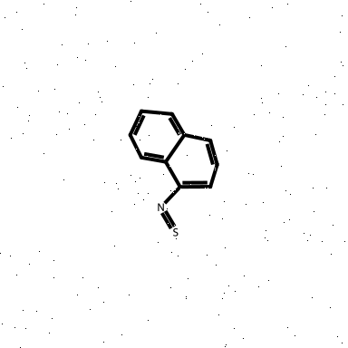 S=Nc1cccc2ccccc12